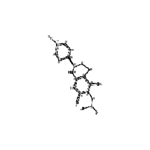 CC(F)Cn1c(=O)[nH]c2c(c1=O)CC[C@H](c1ccc(F)cc1)N2